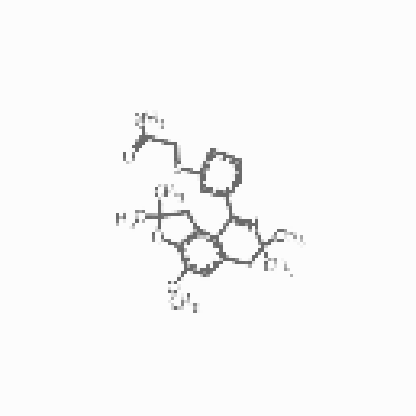 COc1cc2c(c3c1OC(C)(C)C3)C(c1cccc(SCC(N)=O)c1)=NC(C)(C)C2